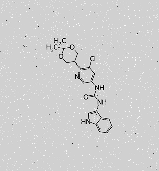 CC1(C)OCC(c2ncc(NC(=O)Nc3c[nH]c4ccccc34)cc2Cl)CO1